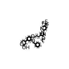 CCOc1nn(-c2ccc(C(F)(F)F)cn2)cc1CCCOc1ccc(C(CC)CC(=O)O)cc1OCc1ccccc1